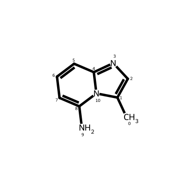 Cc1cnc2cccc(N)n12